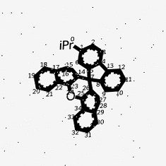 CC(C)c1ccc2c(c1)C1(c3ccccc3-2)c2ccc3ccccc3c2Oc2c1ccc1ccccc21